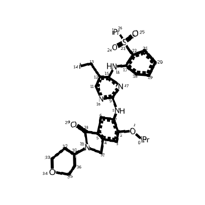 CC(C)Oc1cc2c(cc1Nc1ncc(CI)c(Nc3ccccc3S(=O)(=O)C(C)C)n1)C(=O)N(C1CCOCC1)C2